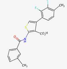 Cc1cccc(C(=O)Nc2scc(-c3ccc(C)c(F)c3F)c2C(=O)O)c1